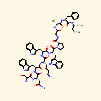 CC[C@H](C)[C@H](NC(=O)CNC(=O)[C@@H]1CCCN1C(=O)[C@H](Cc1c[nH]c2ccccc12)NC(=O)[C@H](Cc1c[nH]c2ccccc12)NC(=O)[C@H](CCCCN)NC(=O)[C@H](Cc1c[nH]c2ccccc12)NC(=O)[C@H](CC(N)=O)NC(=O)[C@@H](N)CO)C(=O)N[C@@H](Cc1ccccc1)C(=O)N[C@@H](CC(=O)O)C(=O)O